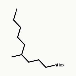 CCCCCCCCCC(C)CCCCI